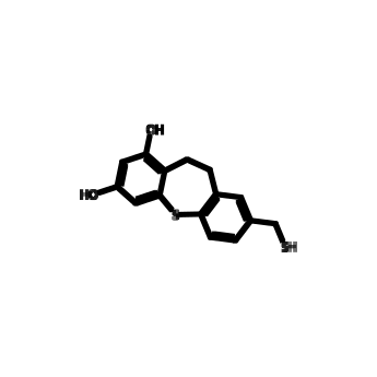 Oc1cc(O)c2c(c1)Sc1ccc(CS)cc1CC2